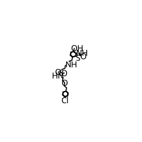 O=c1[nH]c2c(O)ccc(CCNCCCS(=O)(=O)NCCOCCc3ccc(Cl)cc3)c2s1